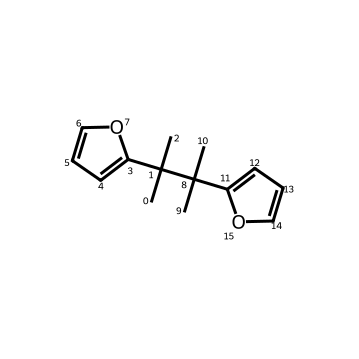 CC(C)(c1ccco1)C(C)(C)c1ccco1